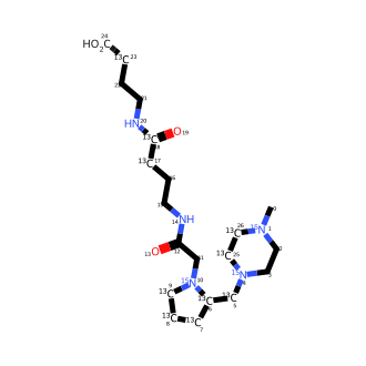 C[15N]1CC[15N]([13CH2][13CH]2[13CH2][13CH2][13CH2][15N]2CC(=O)NCC[13CH2][13C](=O)NCC[13CH2][13C](=O)O)[13CH2][13CH2]1